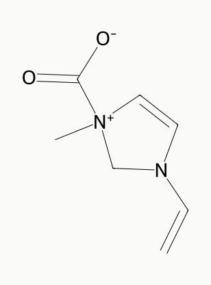 C=CN1C=C[N+](C)(C(=O)[O-])C1